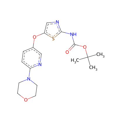 CC(C)(C)OC(=O)Nc1ncc(Oc2ccc(N3CCOCC3)nc2)s1